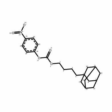 O=C(OCCCCC12CC3CC(CC(C3)C1)C2)Oc1ccc([N+](=O)[O-])cc1